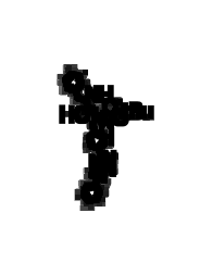 CC(C)(C)OC(=O)NN(Cc1ccc(-c2nnn(C(C)(C)c3ccccc3)n2)cc1)C[C@H](O)[C@@H](N)Cc1ccccc1